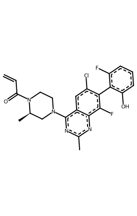 C=CC(=O)N1CCN(c2nc(C)nc3c(F)c(-c4c(O)cccc4F)c(Cl)cc23)C[C@H]1C